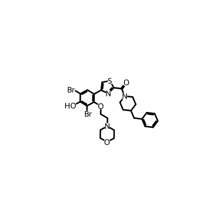 O=C(c1nc(-c2cc(Br)c(O)c(Br)c2OCCN2CCOCC2)cs1)N1CCC(Cc2ccccc2)CC1